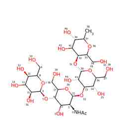 CC(=O)N[C@H]1C(O)[C@H](O[C@@H]2OC(CO)[C@H](O)C(O)[C@@H]2O)C(CO)O[C@H]1OC1[C@@H](O)C(CO)O[C@@H](O[C@@H]2C(CO)OC(C)[C@@H](O)C2O)[C@H]1O